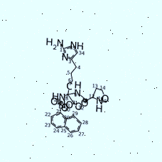 Nc1nc(CCCCC(NC(=O)C2CCON2)(NS(=O)(=O)c2cccc3ccccc23)C(=O)O)c[nH]1